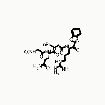 CCCN(CC(=O)NC(CCCNC(=N)N)C(=O)c1nc2ccccc2s1)C(=O)[C@H](CCC(N)=O)NC(=O)CNC(C)=O